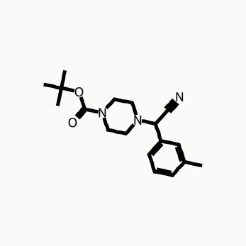 Cc1cccc(C(C#N)N2CCN(C(=O)OC(C)(C)C)CC2)c1